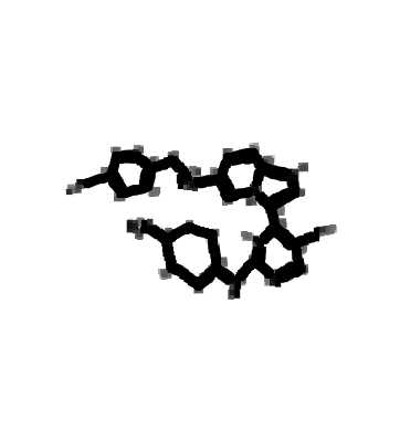 NC1CCC(Nc2ncc(F)c(-c3cnc4ccc(NCc5ccc(F)cc5)cn34)n2)CC1